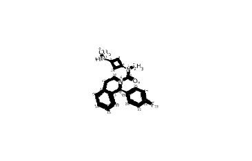 CN[C@H]1C[C@H](N(C)C(=O)N2CCc3ccccc3[C@@H]2c2ccc(F)cc2)C1